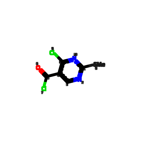 CSc1ncc(C(=O)Cl)c(Cl)n1